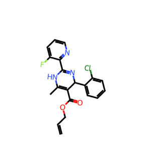 C=CCOC(=O)C1=C(C)NC(c2ncccc2F)=NC1c1ccccc1Cl